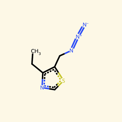 CCc1ncsc1CN=[N+]=[N-]